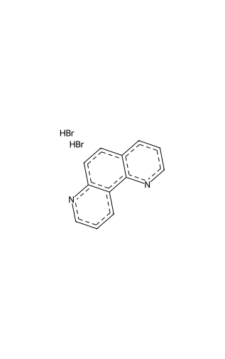 Br.Br.c1cnc2c(c1)ccc1ncccc12